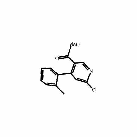 CNC(=O)c1cnc(Cl)cc1-c1ccccc1C